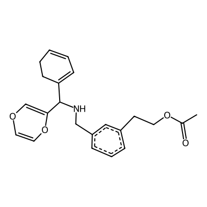 CC(=O)OCCc1cccc(CNC(C2=CC=CCC2)C2=COC=CO2)c1